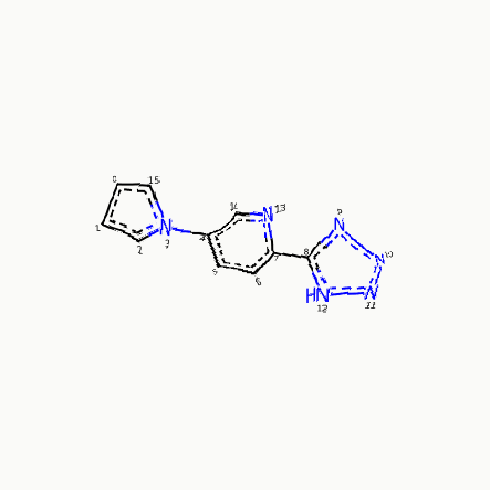 c1ccn(-c2ccc(-c3nnn[nH]3)nc2)c1